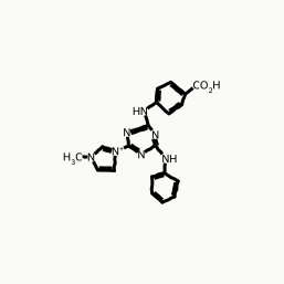 Cn1cc[n+](-c2nc(Nc3ccccc3)nc(Nc3ccc(C(=O)O)cc3)n2)c1